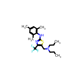 CCCN(CCC)Cc1sc(Nc2c(C)cc(C)cc2C)nc1C(F)(F)F